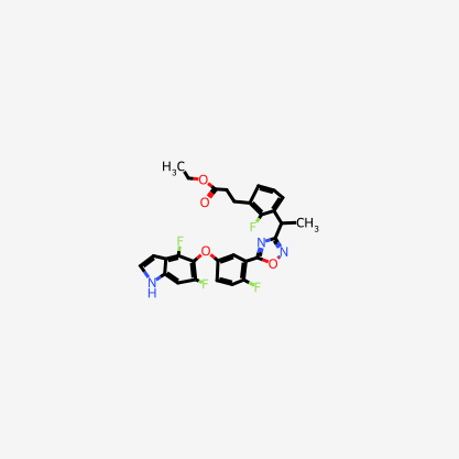 CCOC(=O)CCc1cccc(C(C)c2noc(-c3cc(Oc4c(F)cc5[nH]ccc5c4F)ccc3F)n2)c1F